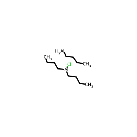 CCC[CH2][AlH2].CCC[CH2][Al]([Cl])[CH2]CCC